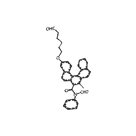 Cc1c(C(=O)N(C=O)c2ccccc2)c2ccc3cc(OCCCCCC=O)ccc3c2c2c1ccc1ccccc12